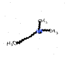 CCCCCCCCCCCCCCCCCCCN1C=CN(CCCCCCCC)C1CCCCCCCCC